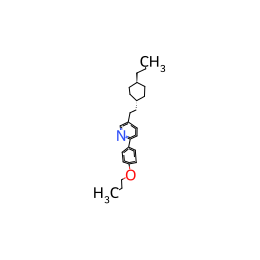 CCCOc1ccc(-c2ccc(CC[C@H]3CC[C@H](CCC)CC3)cn2)cc1